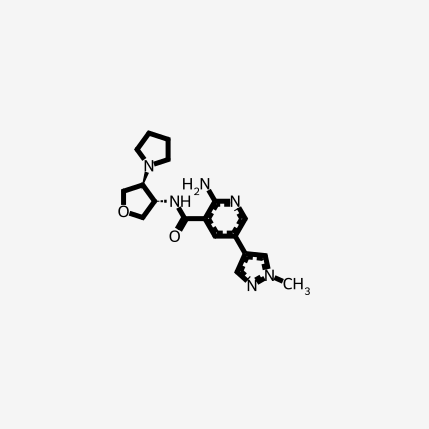 Cn1cc(-c2cnc(N)c(C(=O)N[C@@H]3COC[C@H]3N3CCCC3)c2)cn1